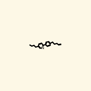 C=CCCCc1ccc(-c2ccc(CCCC)cn2)cc1